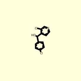 OC(c1ccc(Cl)cc1)c1ccncc1Cl